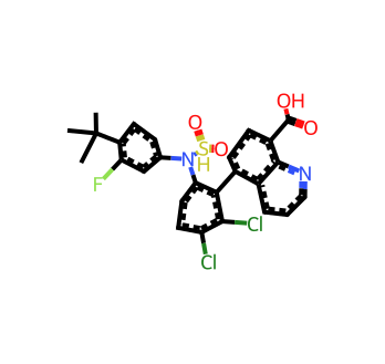 CC(C)(C)c1ccc(N(c2ccc(Cl)c(Cl)c2-c2ccc(C(=O)O)c3ncccc23)[SH](=O)=O)cc1F